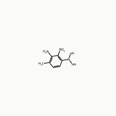 CCCN(CCC)c1ccc(C)c([N+](=O)[O-])c1[N+](=O)[O-]